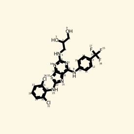 OCC(O)CNc1nc(Nc2ccc(C(F)(F)F)cc2)c2nc(Nc3c(Cl)cccc3Cl)sc2n1